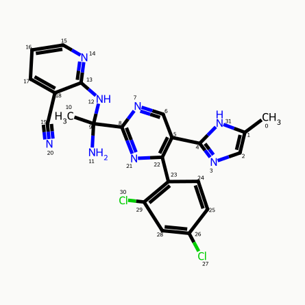 Cc1cnc(-c2cnc(C(C)(N)Nc3ncccc3C#N)nc2-c2ccc(Cl)cc2Cl)[nH]1